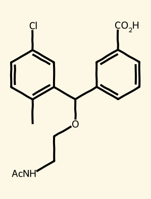 CC(=O)NCCOC(c1cccc(C(=O)O)c1)c1cc(Cl)ccc1C